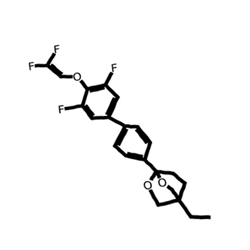 CCC12CCC(c3ccc(-c4cc(F)c(OC=C(F)F)c(F)c4)cc3)(OC1)OC2